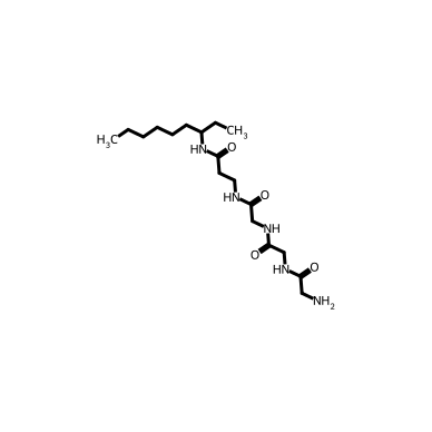 CCCCCCC(CC)NC(=O)CCNC(=O)CNC(=O)CNC(=O)CN